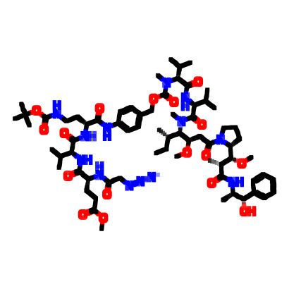 CC[C@H](C)[C@@H]([C@@H](CC(=O)N1CCC[C@H]1[C@H](OC)[C@@H](C)C(=O)N[C@H](C)[C@@H](O)c1ccccc1)OC)N(C)C(=O)[C@@H](NC(=O)[C@H](C(C)C)N(C)C(=O)OCc1ccc(NC(=O)[C@H](CCNC(=O)OC(C)(C)C)NC(=O)[C@@H](NC(=O)[C@H](CCC(=O)OC)NC(=O)CN=[N+]=[N-])C(C)C)cc1)C(C)C